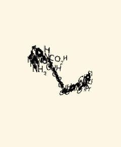 CC(C)c1nn(-c2c(Cl)cc(Cl)cc2Cl)c2nc(Cc3ccc(OC(C)(C)C(=O)NCCOCCOCCOCCNC(=O)CCC(NC(=O)c4ccc(N(C)Cc5cnc6nc(N)nc(N)c6n5)cc4)C(=O)O)cc3)[nH]c(=O)c12